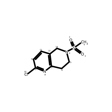 CS(=O)(=O)N1CCc2nc(Cl)ccc2C1